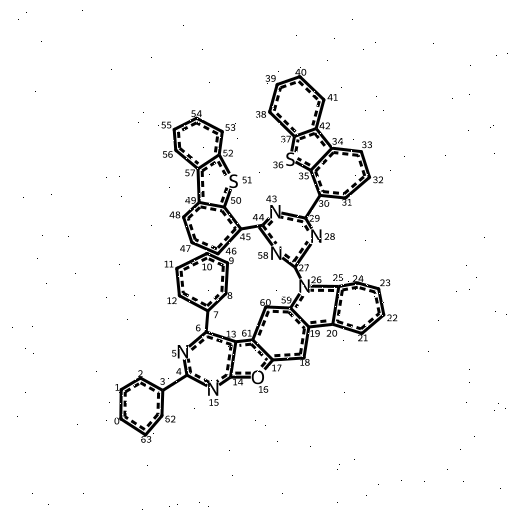 c1ccc(-c2nc(-c3ccccc3)c3c(n2)oc2cc4c5ccccc5n(-c5nc(-c6cccc7c6sc6ccccc67)nc(-c6cccc7c6sc6ccccc67)n5)c4cc23)cc1